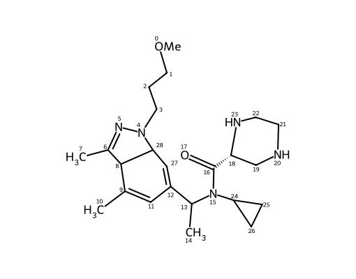 COCCCN1N=C(C)C2C(C)=CC(C(C)N(C(=O)[C@H]3CNCCN3)C3CC3)=CC21